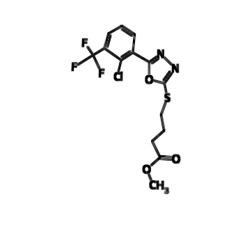 COC(=O)CCCSc1nnc(-c2cccc(C(F)(F)F)c2Cl)o1